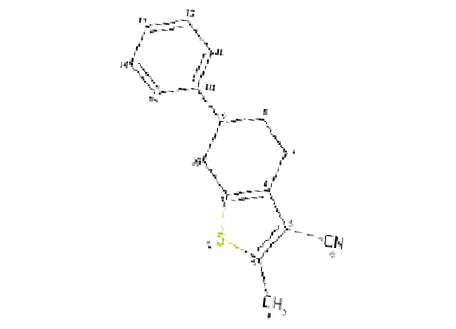 Cc1sc2c(c1C#N)CCC(c1ccccc1)C2